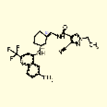 CCn1cc(C(=O)N/C=C2/CCC[C@H](Nc3cc(C(F)(F)F)nc4ccc(C)cc34)C2)c(C#N)n1